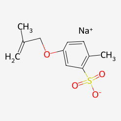 C=C(C)COc1ccc(C)c(S(=O)(=O)[O-])c1.[Na+]